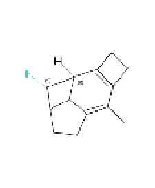 CC1=C2CCC3C2[C@H](C2=C1CC2)[C@H]3F